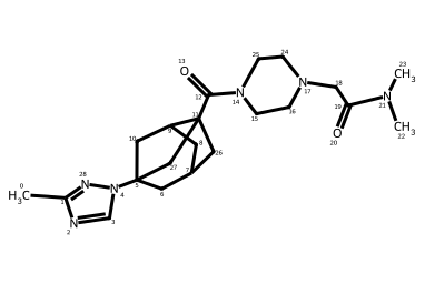 Cc1ncn(C23CC4CC(C2)C(C(=O)N2CCN(CC(=O)N(C)C)CC2)(C4)C3)n1